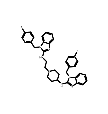 Fc1ccc(Cn2c(NCCN3CCC(Nc4nc5ccccc5n4Cc4ccc(F)cc4)CC3)nc3ccccc32)cc1